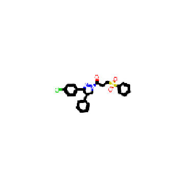 O=C(CCS(=O)(=O)c1ccccc1)N1CC(c2ccccc2)C(c2ccc(Cl)cc2)=N1